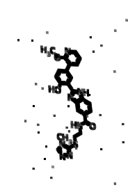 COc1ncccc1-c1ccc(O)c(-c2nc3cc(C(=O)NCCSc4nncn4C)ccc3[nH]2)c1